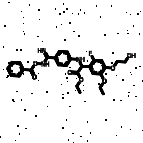 CCOC(=O)C(Nc1ccc(C(=N)NOC(=O)c2ccccc2)cc1)c1cc(OCC)c(OCCO)cc1F